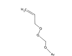 C=CCOOCOC(C)=O